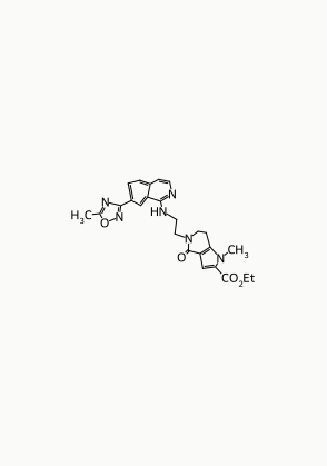 CCOC(=O)c1cc2c(n1C)CCN(CCNc1nccc3ccc(-c4noc(C)n4)cc13)C2=O